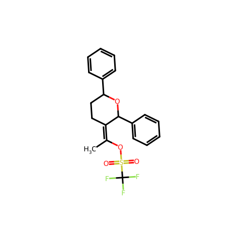 C/C(OS(=O)(=O)C(F)(F)F)=C1\CCC(c2ccccc2)OC1c1ccccc1